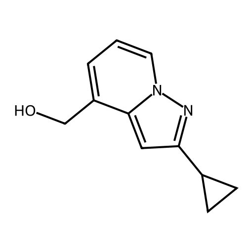 OCc1cccn2nc(C3CC3)cc12